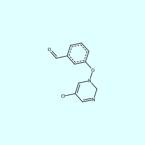 O=Cc1cccc(ON2C=C(Cl)C=NC2)c1